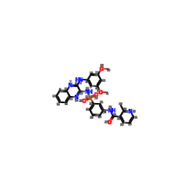 COc1cc(Nc2nc3ccccc3nc2NS(=O)(=O)c2cccc(NC(=O)c3cccnc3C)c2)cc(OC)c1